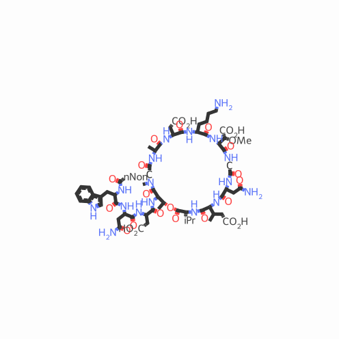 CCCCCCCCCC(=O)NC(Cc1c[nH]c2ccccc12)C(=O)NC(CC(N)=O)C(=O)NC(CC(=O)O)C(=O)NC1C(=O)N(C)CC(=O)NC(C)C(=O)NC(CC(=O)O)C(=O)NC(CCCCN)C(=O)NC(C(OC)C(=O)O)C(=O)NCC(=O)NC(CC(N)=O)C(=O)NC(C(C)CC(=O)O)C(=O)NC(C(C)C)C(=O)OC1C